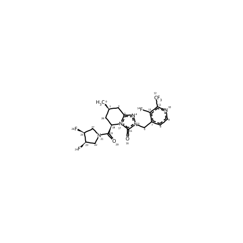 C[C@H]1Cc2nn(Cc3ccnc(C(F)(F)F)c3F)c(=O)n2[C@@H](C(=O)N2C[C@@H](F)[C@@H](F)C2)C1